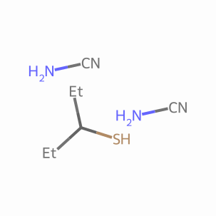 CCC(S)CC.N#CN.N#CN